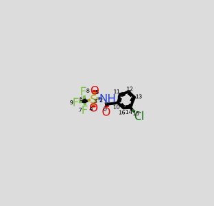 O=C(NS(=O)(=O)C(F)(F)F)c1cccc(Cl)c1